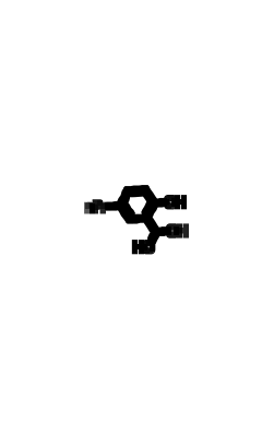 CCCc1ccc(O)c(C(O)O)c1